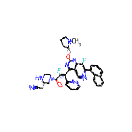 CN1CCC[C@H]1COc1nc(/C(=C(\F)C(=O)N2CCN[C@@H](CC#N)C2)c2ccccn2)c2cnc(-c3cccc4ccccc34)c(F)c2n1